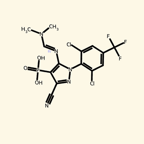 CN(C)/C=N/c1c(P(=O)(O)O)c(C#N)nn1-c1c(Cl)cc(C(F)(F)F)cc1Cl